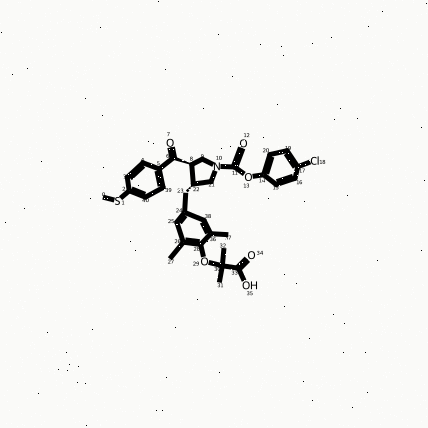 CSc1ccc(C(=O)[C@H]2CN(C(=O)Oc3ccc(Cl)cc3)C[C@@H]2Cc2cc(C)c(OC(C)(C)C(=O)O)c(C)c2)cc1